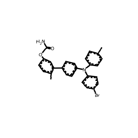 Cc1ccc(N(c2ccc(Br)cc2)c2ccc(-c3cc(OC(N)=O)ccc3C)cc2)cc1